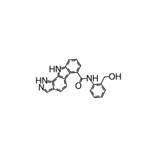 O=C(Nc1ccccc1CO)c1cccc2[nH]c3c(ccc4cn[nH]c43)c12